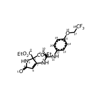 CCOC(=O)C1(C(=O)OCC)NC(=O)C=C1NC(=S)Nc1ccc(OCC(F)(F)F)cc1